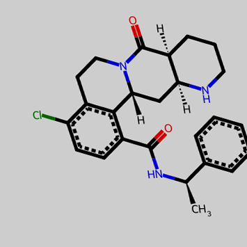 C[C@@H](NC(=O)c1ccc(Cl)c2c1[C@H]1C[C@@H]3NCCC[C@@H]3C(=O)N1CC2)c1ccccc1